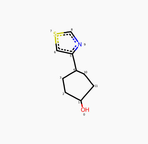 OC1CCC(c2cscn2)CC1